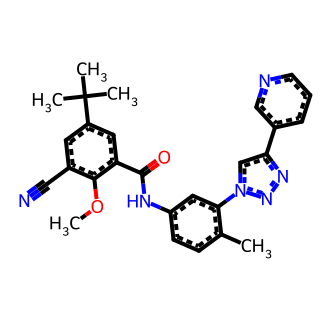 COc1c(C#N)cc(C(C)(C)C)cc1C(=O)Nc1ccc(C)c(-n2cc(-c3cccnc3)nn2)c1